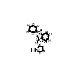 C[Si](C[C@H](O)C[C@@H]1CCCN1)(c1ccccc1)c1ccccc1